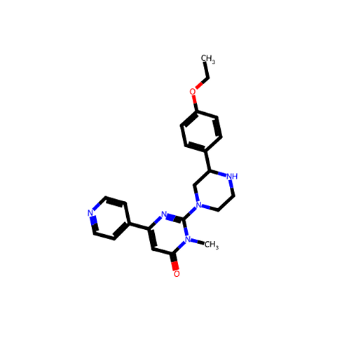 CCOc1ccc(C2CN(c3nc(-c4ccncc4)cc(=O)n3C)CCN2)cc1